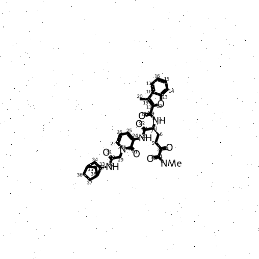 CNC(=O)C(=O)CC[C@H](NC(=O)c1oc2ccccc2c1C)C(=O)Nc1cccn(CC(=O)N[C@@H]2CC3CCC2C3)c1=O